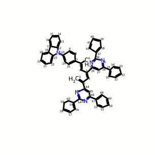 C=C(/C=C(\C=C(/C)c1ccc(-n2c3ccccc3c3ccccc32)cc1)c1cc(-c2ccccc2)nc(-c2ccccc2)n1)c1cc(-c2ccccc2)nc(C2=CC=CCC2)n1